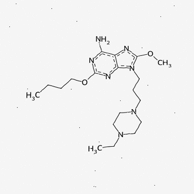 CCCCOc1nc(N)c2nc(OC)n(CCCN3CCN(CC)CC3)c2n1